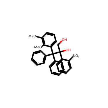 COc1cccc(C(c2ccccc2)(c2ccccc2)C(O)(CO)c2ccccc2[N+](=O)[O-])c1OC